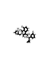 Cc1c(C(=O)N[C@H](c2cccc(F)c2)C2CC2)c2cccc(F)c2c(=O)n1Cc1ncc[nH]1